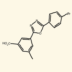 Cc1cc(C(=O)O)cc(-c2nnc(-c3ccc(C(C)C)cc3)o2)c1